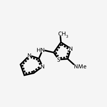 CNc1nc(C)c(Nc2ncccn2)s1